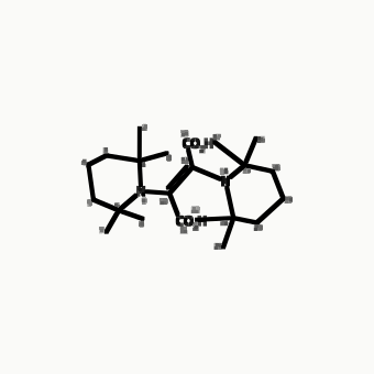 CC1(C)CCCC(C)(C)N1C(C(=O)O)=C(C(=O)O)N1C(C)(C)CCCC1(C)C